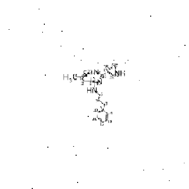 Cc1cc2c(NCCCc3ccccc3)nc(-c3cn[nH]c3)nc2s1